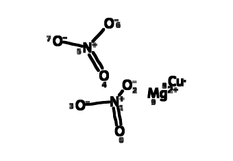 O=[N+]([O-])[O-].O=[N+]([O-])[O-].[Cu].[Mg+2]